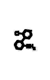 Nc1ccccc1-c1cc[c]cc1Cl